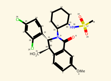 COc1ccc2c(c1)C(=O)N([C@H]1CCCC[C@@H]1NS(C)(=O)=O)[C@@H](c1ccc(Cl)cc1Cl)[C@@H]2C(=O)O